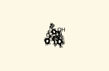 CCCCC[C@@]1(OS(=O)(=O)c2c(F)c(F)c(F)c(F)c2F)C(C(=O)O)=CC(=NOC)C(F)=C1OC(=O)c1ccccc1